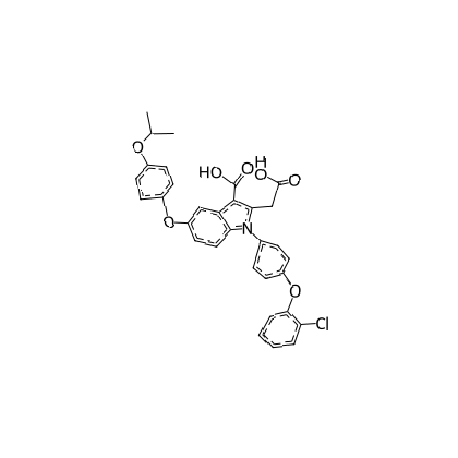 CC(C)Oc1ccc(Oc2ccc3c(c2)c(C(=O)O)c(CC(=O)O)n3-c2ccc(Oc3ccccc3Cl)cc2)cc1